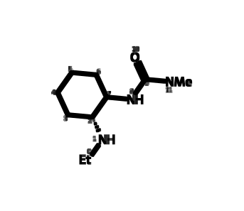 CCN[C@@H]1CCCCC1NC(=O)NC